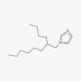 CCCCCCC(Cn1ccnc1)SCCC